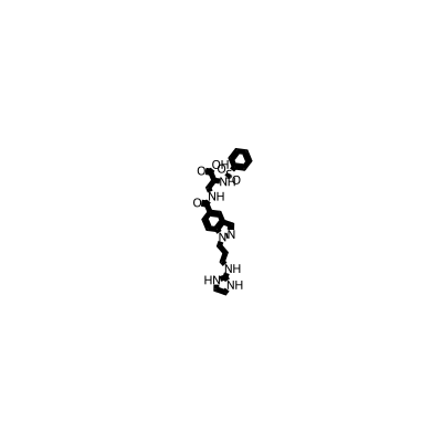 O=C(NCC(NS(=O)(=O)c1ccccc1)C(=O)O)c1ccc2c(cnn2CCCNC2NCCN2)c1